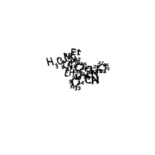 CCc1nc2c(C)cc(C)nc2n1Cc1ccc(/C(=C(/C#N)C(=O)Nc2ccccc2)c2ccccc2)cc1